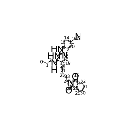 CCCNC1NC(Nc2ccc(C#N)cc2)=NC(C)=C1C#CCCCN1C(=O)c2ccccc2C1=O